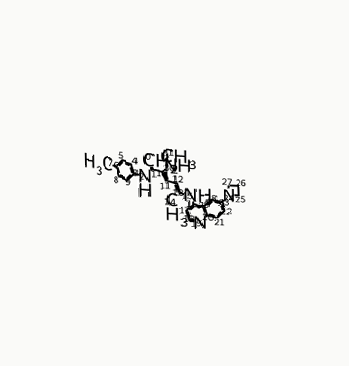 C=C(Nc1ccc(C)cc1)/C(=C/C=C(\C)Nc1ccnc2ccc(N3CCC3)cc12)NC